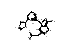 Cc1nn(-c2cccc(C3CCOC3)n2)c2cc(CC(N)=O)ncc12